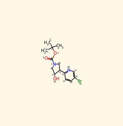 CC(C)(C)OC(=O)N1CC(O)C(c2ccc(Br)cn2)C1